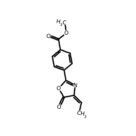 C/C=C1/N=C(c2ccc(C(=O)OC)cc2)OC1=O